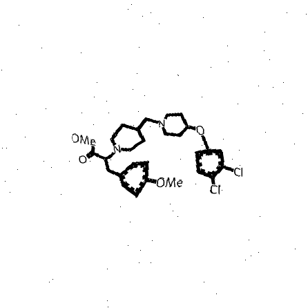 COC(=O)C(Cc1ccc(OC)cc1)N1CCC(CN2CCC(Oc3ccc(Cl)c(Cl)c3)CC2)CC1